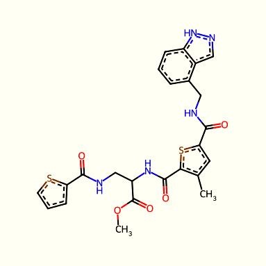 COC(=O)C(CNC(=O)c1cccs1)NC(=O)c1sc(C(=O)NCc2cccc3[nH]ncc23)cc1C